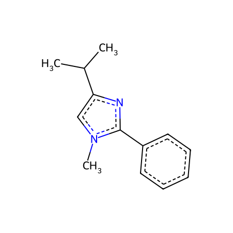 CC(C)c1cn(C)c(-c2ccccc2)n1